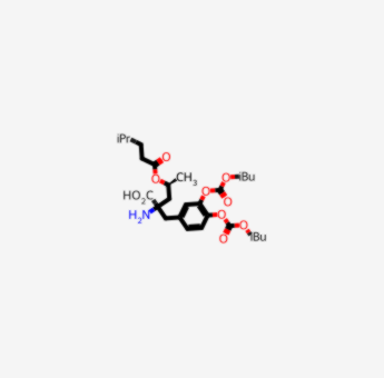 CCC(C)OC(=O)Oc1ccc(CC(N)(C[C@H](C)OC(=O)CCC(C)C)C(=O)O)cc1OC(=O)OC(C)CC